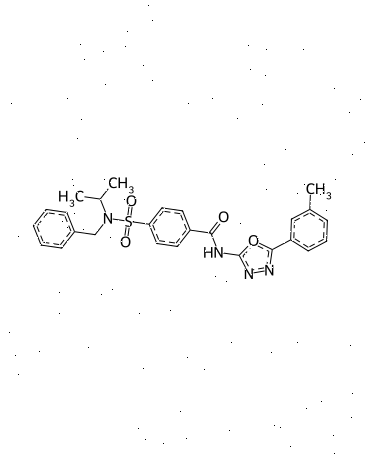 Cc1cccc(-c2nnc(NC(=O)c3ccc(S(=O)(=O)N(Cc4ccccc4)C(C)C)cc3)o2)c1